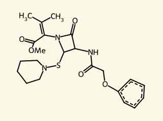 COC(=O)C(=C(C)C)N1C(=O)C(NC(=O)COc2ccccc2)C1SN1CCCCC1